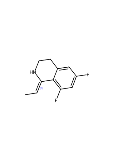 C/C=C1\NCCc2cc(F)cc(F)c21